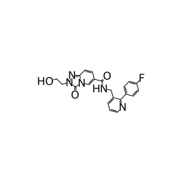 O=C(NCc1cccnc1-c1ccc(F)cc1)c1ccc2nn(CCO)c(=O)n2c1